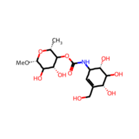 CO[C@@H]1O[C@H](C)C(OC(=O)NC2C=C(CO)[C@@H](O)C(O)[C@H]2O)[C@H](O)C1O